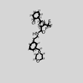 O=C(NCCc1cccc(CN2CCOCC2)c1)c1sc(-c2ccccc2Cl)nc1C(F)(F)F